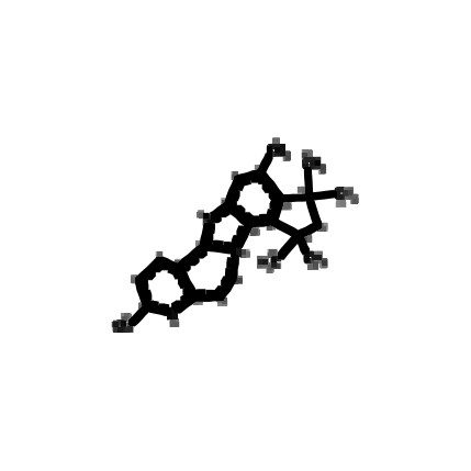 Cc1cc2nc3c4ccc(C(C)(C)C)nc4ccn3c2c2c1C(C)(C)CC2(C)C